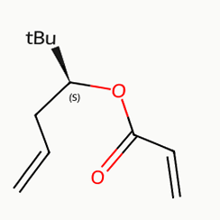 C=CC[C@H](OC(=O)C=C)C(C)(C)C